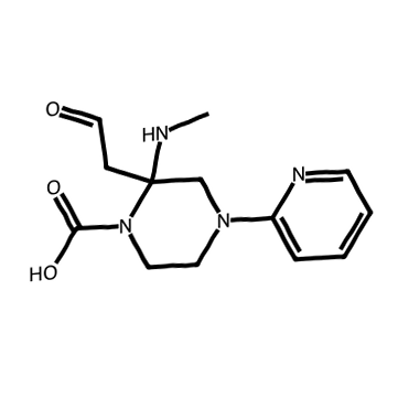 CNC1(CC=O)CN(c2ccccn2)CCN1C(=O)O